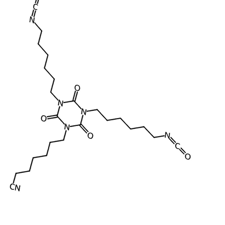 N#CCCCCCCn1c(=O)n(CCCCCCN=C=O)c(=O)n(CCCCCCN=C=O)c1=O